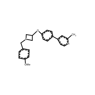 COc1ccc(CN2CC(Oc3ccc(-c4ccnc(C)c4)cc3)C2)cc1